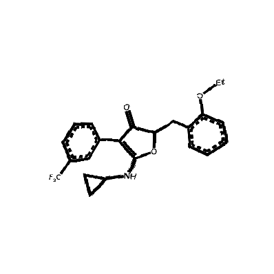 CCOc1ccccc1CC1OC(NC2CC2)=C(c2cccc(C(F)(F)F)c2)C1=O